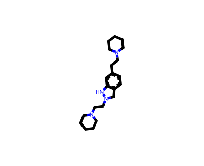 c1cc2c(cc1CCN1CCCCC1)NN(CCN1CCCCC1)C2